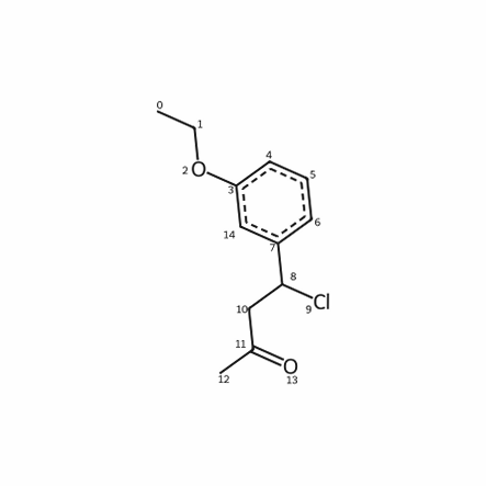 CCOc1cccc(C(Cl)CC(C)=O)c1